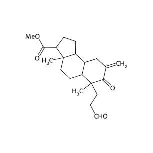 C=C1CC2C(CCC3(C)C(C(=O)OC)CCC23)C(C)(CCC=O)C1=O